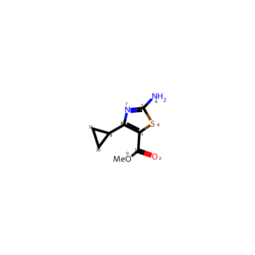 COC(=O)c1sc(N)nc1C1CC1